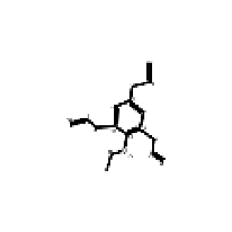 C=CCc1cc(CC=C)c(OCC)c(CC=C)c1